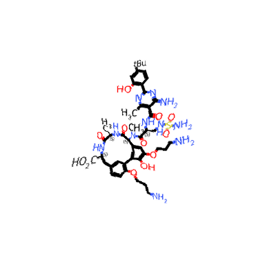 Cc1nc(-c2ccc(C(C)(C)C)cc2O)nc(N)c1C(=O)N[C@@H](CNS(N)(=O)=O)C(=O)N(C)[C@@H]1C(=O)N[C@@H](C)C(=O)N[C@H](C(=O)O)Cc2ccc(OCCCN)c(c2)-c2cc1cc(OCCCN)c2O